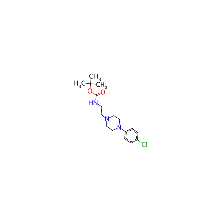 CC(C)(C)OC(=O)NCCN1CCN(c2ccc(Cl)cc2)CC1